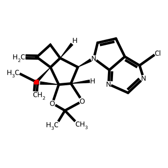 C=C(C)[C@@]12C(=C)C[C@@H]1[C@@H](n1ccc3c(Cl)ncnc31)[C@@H]1OC(C)(C)O[C@@H]12